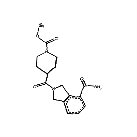 CC(C)(C)OC(=O)N1CCC(C(=O)N2Cc3cccc(C(N)=O)c3C2)CC1